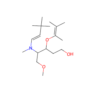 COCC(C(CCO)OC(C)=C(C)C)N(C)/C=C/C(C)(C)C